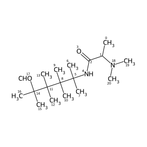 CC(C(=O)NC(C)(C)C(C)(C)C(C)(C)C(C)(C)C=O)N(C)C